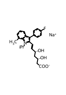 Cc1cccc2c(-c3ccc(F)cc3)c(/C=C/[C@H](O)C[C@H](O)CC(=O)[O-])n(C(C)C)c12.[Na+]